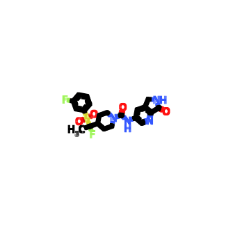 CC(F)(C1CCN(C(=O)Nc2cnc3c(c2)CNC3=O)CC1)S(=O)(=O)c1cccc(F)c1